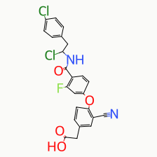 N#Cc1cc(CC(=O)O)ccc1Oc1ccc(C(=O)NC(Cl)Cc2ccc(Cl)cc2)c(F)c1